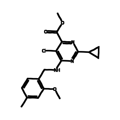 COC(=O)c1nc(C2CC2)nc(NCc2ccc(C)cc2OC)c1Cl